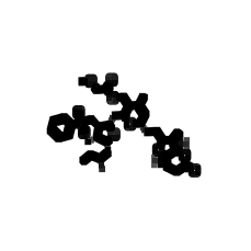 C=C1C(CC[C@H]2C=C(C)C(COC(=O)COC)C(C[C@@H]3O[C@H](C[C@H](C)CC)[C@H](C)[C@H]3CS(=O)(=O)c3ccccc3)O2)O[C@H]2CCC(=O)O[C@@H]12